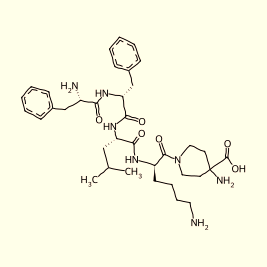 CC(C)C[C@H](NC(=O)[C@@H](Cc1ccccc1)NC(=O)[C@@H](N)Cc1ccccc1)C(=O)N[C@H](CCCCN)C(=O)N1CCC(N)(C(=O)O)CC1